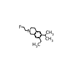 CCc1cc2c(cc1C(C)C)CCN(CCF)C2